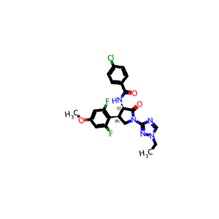 CCn1cnc(N2C[C@@H](c3c(F)cc(OC)cc3F)[C@H](NC(=O)c3ccc(Cl)cc3)C2=O)n1